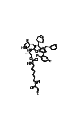 C[C@@H](COC(=O)NCCCCCCNC(=O)CI)NC(=O)N(C[C@@H]1CNC[C@@H]1F)[C@@H](c1nc(-c2cc(F)ccc2F)cn1Cc1ccccc1)C1CCOCC1